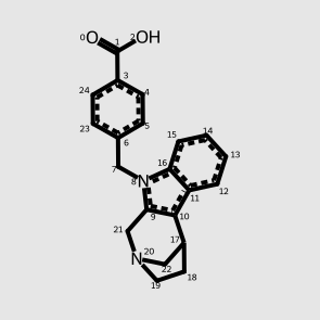 O=C(O)c1ccc(Cn2c3c(c4ccccc42)C2CCN(C3)C2)cc1